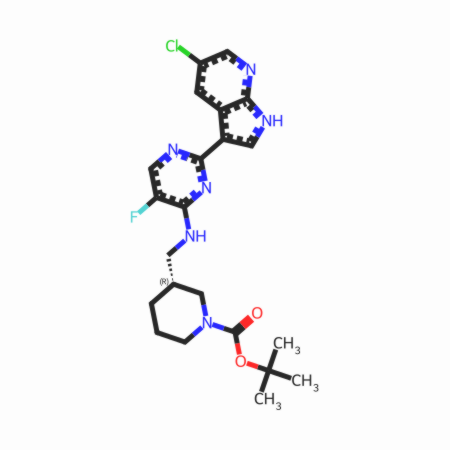 CC(C)(C)OC(=O)N1CCC[C@H](CNc2nc(-c3c[nH]c4ncc(Cl)cc34)ncc2F)C1